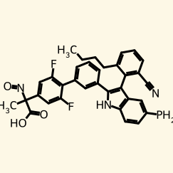 CCCCc1cccc(C#N)c1-c1c(-c2cccc(-c3c(F)cc(C(C)(N=O)C(=O)O)cc3F)c2)[nH]c2ccc(P)cc12